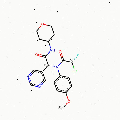 O=C(NC1CCOCC1)[C@@H](c1cncnc1)N(C(=O)[C@H](F)Cl)c1ccc(OC(F)(F)F)cc1